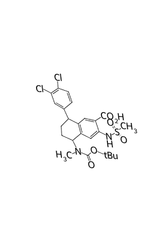 CN(C(=O)OC(C)(C)C)C1CCC(c2ccc(Cl)c(Cl)c2)c2cc(C(=O)O)c(NS(C)(=O)=O)cc21